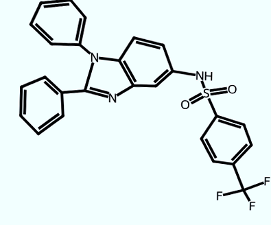 O=S(=O)(Nc1ccc2c(c1)nc(-c1ccccc1)n2-c1ccccc1)c1ccc(C(F)(F)F)cc1